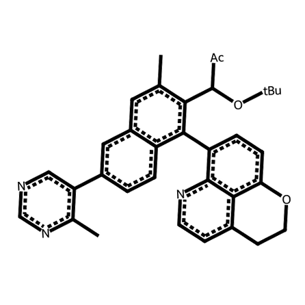 CC(=O)C(OC(C)(C)C)c1c(C)cc2cc(-c3cncnc3C)ccc2c1-c1ccc2c3c(ccnc13)CCO2